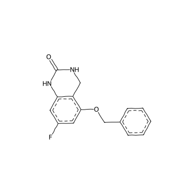 O=C1NCc2c(cc(F)cc2OCc2ccccc2)N1